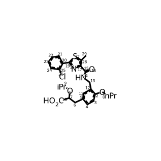 CCCOc1ccc(CC(OC(C)C)C(=O)O)cc1CNC(=O)c1nc(-c2ccccc2Cl)sc1C